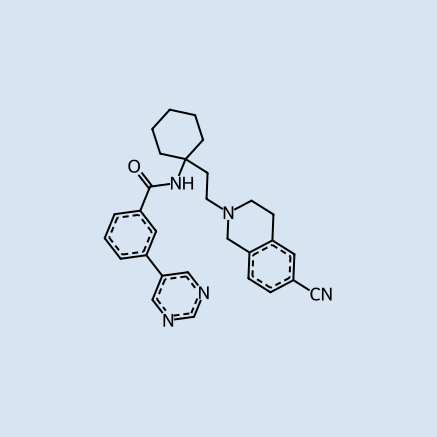 N#Cc1ccc2c(c1)CCN(CCC1(NC(=O)c3cccc(-c4cncnc4)c3)CCCCC1)C2